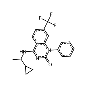 CC(Nc1nc(=O)n(-c2ccccc2)c2cc(C(F)(F)F)ccc12)C1CC1